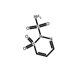 NS(=O)(=O)N1N=CC=CS1(=O)=O